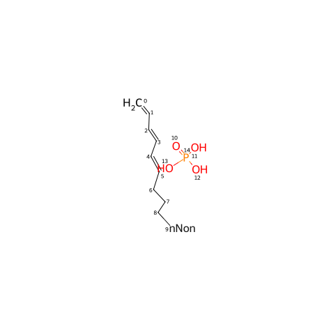 C=CC=CC=CCCCCCCCCCCCC.O=P(O)(O)O